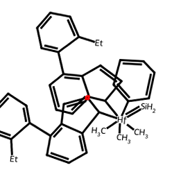 CCc1ccccc1-c1cccc2c1C=C[CH]2[Hf]([CH3])([CH3])([CH3])(=[SiH2])([c]1ccccc1)[CH]1C=Cc2c(-c3ccccc3CC)cccc21